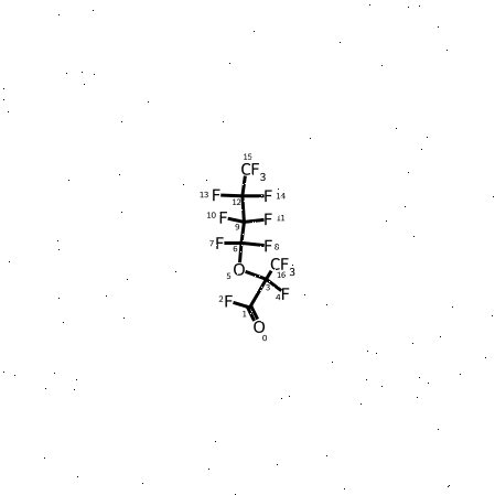 O=C(F)C(F)(OC(F)(F)C(F)(F)C(F)(F)C(F)(F)F)C(F)(F)F